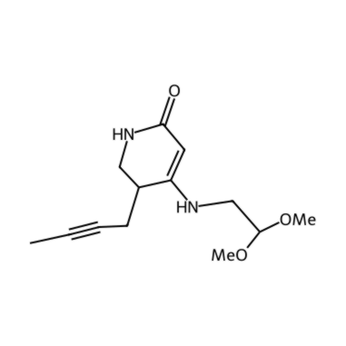 CC#CCC1CNC(=O)C=C1NCC(OC)OC